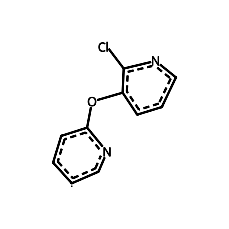 Clc1ncccc1Oc1cc[c]cn1